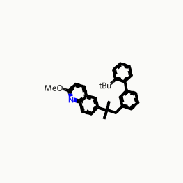 COc1ccc2cc(C(C)(C)Cc3cccc(-c4ccccc4C(C)(C)C)c3)ccc2n1